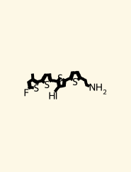 Cc1cc(F)sc1-c1ccc(-c2sc(-c3ccc(CCN)s3)cc2C)s1.I